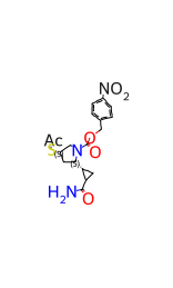 CC(=O)S[C@H]1C[C@@H](C2CC2C(N)=O)N(C(=O)OCc2ccc([N+](=O)[O-])cc2)C1